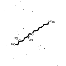 CCCCCCCCCCCCCCCOC[C@@H](O)CC[C@@H](O)CO